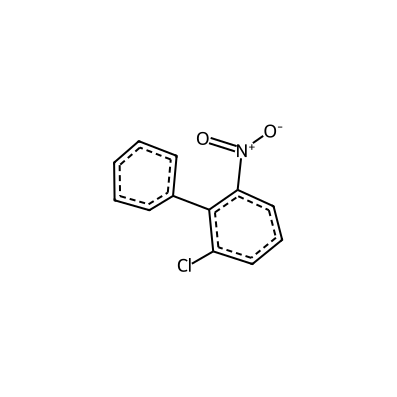 O=[N+]([O-])c1cccc(Cl)c1-c1ccccc1